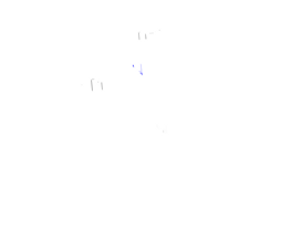 CC=C[Si](C)(C)CN(CCC)CCC